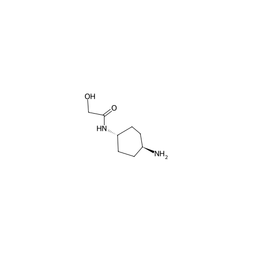 N[C@H]1CC[C@H](NC(=O)CO)CC1